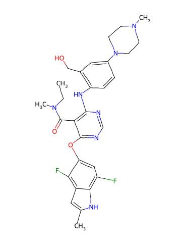 CCN(C)C(=O)c1c(Nc2ccc(N3CCN(C)CC3)cc2CO)ncnc1Oc1cc(F)c2[nH]c(C)cc2c1F